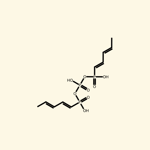 C/C=C/C=C/P(=O)(O)OP(=O)(O)OP(=O)(O)/C=C/C=C/C